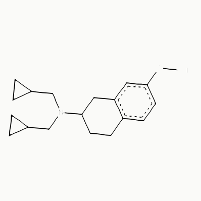 COc1ccc2c(c1)CC(N(CC1CC1)CC1CC1)CC2